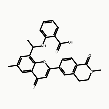 Cc1cc(C(C)Nc2ccccc2C(=O)O)c2oc(-c3ccc4c(c3)CCN(C)C4=O)cc(=O)c2c1